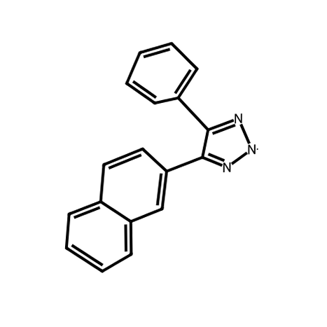 c1ccc(C2=N[N]N=C2c2ccc3ccccc3c2)cc1